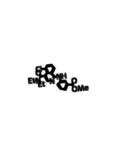 CCN(CC)C(=O)c1cnc(Nc2cccc(C(=O)OC)c2)c2cccc(Cl)c12